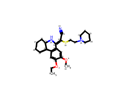 CCOc1cc2c(cc1OC)C(=C(C#N)SCCN1CCCCC1)NC1CCCCC21